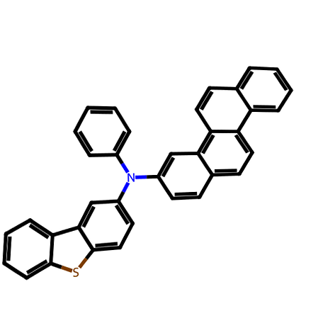 c1ccc(N(c2ccc3ccc4c5ccccc5ccc4c3c2)c2ccc3sc4ccccc4c3c2)cc1